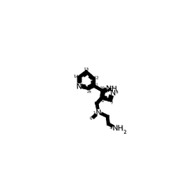 CN(CCN)Cc1cn[nH]c1-c1cccnc1